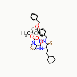 CC(C)(C)OC(=O)N1CSC[C@H]1C(=O)N[C@H](CCC1CCCCC1)C(=S)NCc1ccc(OCc2ccccc2)cc1